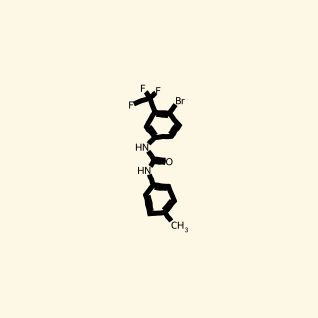 Cc1ccc(NC(=O)Nc2ccc(Br)c(C(F)(F)F)c2)cc1